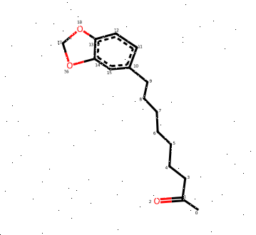 CC(=O)CCCCCCCc1ccc2c(c1)OCO2